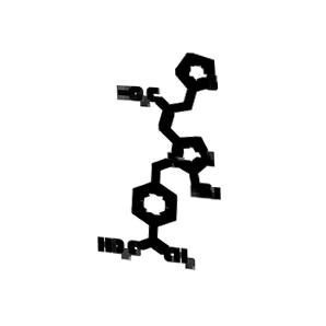 C=C(C(=O)O)c1ccc(Cn2c(/C=C(\Cc3cccs3)C(=O)O)cnc2CCCC)cc1